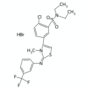 Br.CCN(CC)S(=O)(=O)c1cc(-c2csc(=Nc3cccc(C(F)(F)F)c3)n2C)ccc1Cl